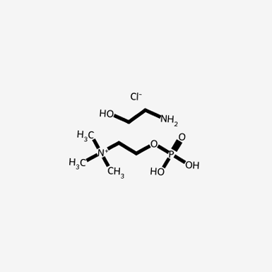 C[N+](C)(C)CCOP(=O)(O)O.NCCO.[Cl-]